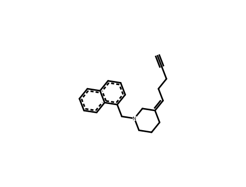 C#CCC/C=C1/CCCN(Cc2cccc3ccccc23)C1